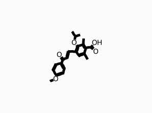 COc1ccc(C(=O)/C=C/c2cc(C)c(C(=O)O)c(C)c2OC(C)C)cc1